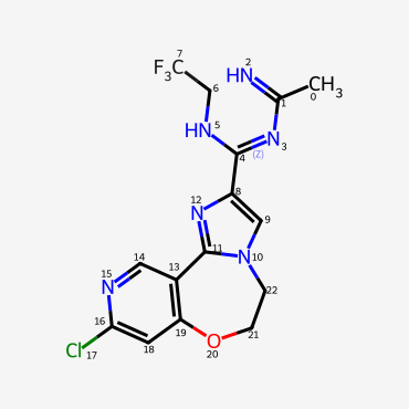 CC(=N)/N=C(\NCC(F)(F)F)c1cn2c(n1)-c1cnc(Cl)cc1OCC2